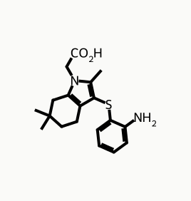 Cc1c(Sc2ccccc2N)c2c(n1CC(=O)O)CC(C)(C)CC2